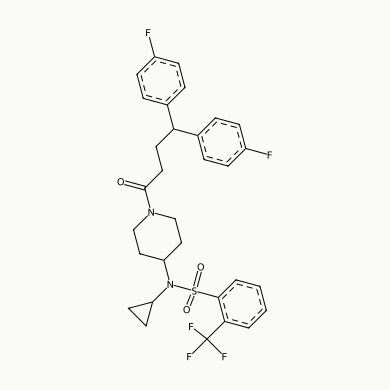 O=C(CCC(c1ccc(F)cc1)c1ccc(F)cc1)N1CCC(N(C2CC2)S(=O)(=O)c2ccccc2C(F)(F)F)CC1